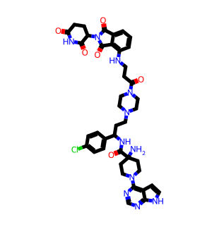 NC1(C(=O)NC(CCN2CCN(C(=O)CCNc3cccc4c3C(=O)N(C3CCC(=O)NC3=O)C4=O)CC2)c2ccc(Cl)cc2)CCN(c2ncnc3[nH]ccc23)CC1